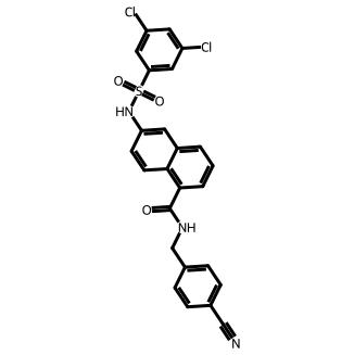 N#Cc1ccc(CNC(=O)c2cccc3cc(NS(=O)(=O)c4cc(Cl)cc(Cl)c4)ccc23)cc1